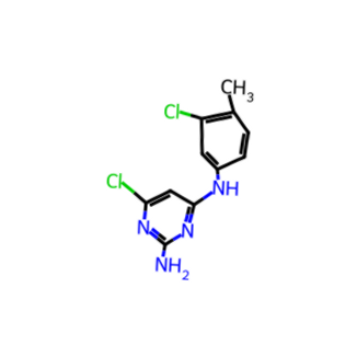 Cc1ccc(Nc2cc(Cl)nc(N)n2)cc1Cl